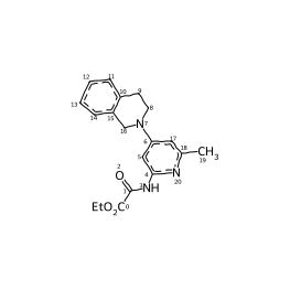 CCOC(=O)C(=O)Nc1cc(N2CCc3ccccc3C2)cc(C)n1